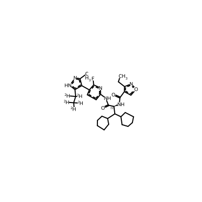 [2H]C([2H])([2H])C([2H])([2H])c1[nH]nc(C)c1-c1ccc(NC(=O)[C@@H](NC(=O)c2conc2CC)C(C2CCCCC2)C2CCCCC2)nc1F